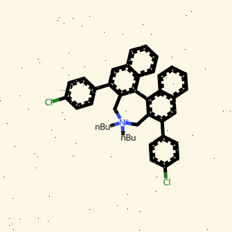 CCCC[N+]1(CCCC)Cc2c(-c3ccc(Cl)cc3)cc3ccccc3c2-c2c(c(-c3ccc(Cl)cc3)cc3ccccc23)C1